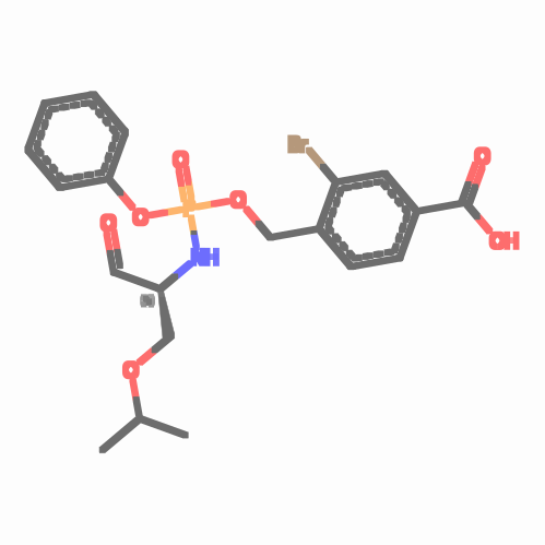 CC(C)OC[C@@H](C=O)NP(=O)(OCc1ccc(C(=O)O)cc1Br)Oc1ccccc1